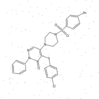 CC(=O)c1ccc(S(=O)(=O)N2CCN(c3cnn(-c4ccccc4)c(=O)c3Sc3ccc(Cl)cc3)CC2)cc1